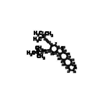 CS(C)(C)C#Cc1cc2sc3cc4cc5sccc5cc4cc3c2cc1C#CS(C)(C)C